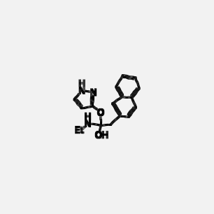 CCNC(O)(Cc1ccc2ccccc2c1)Oc1cc[nH]n1